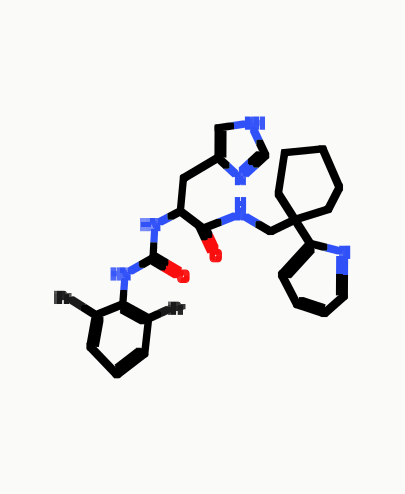 CC(C)c1cccc(C(C)C)c1NC(=O)NC(Cc1c[nH]cn1)C(=O)NCC1(c2ccccn2)CCCCC1